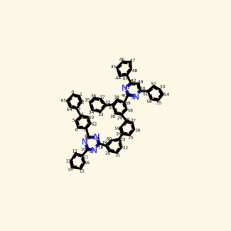 c1ccc(-c2ccc(-c3nc(-c4ccccc4)nc(-c4cccc(-c5cccc(-c6cc(-c7ccccc7)cc(-c7nc(-c8ccccc8)cc(-c8ccccc8)n7)c6)c5)c4)n3)cc2)cc1